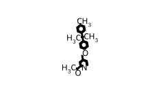 CC(=O)c1cc(COc2ccc(C(C)(C)c3ccc(C)cc3)cc2)ccn1